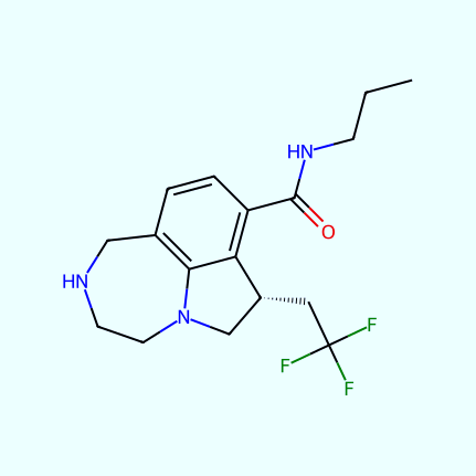 CCCNC(=O)c1ccc2c3c1[C@H](CC(F)(F)F)CN3CCNC2